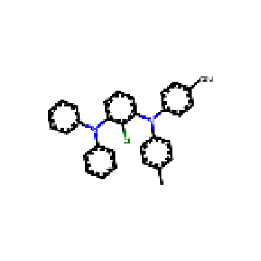 Cc1ccc(N(c2ccc(C(C)(C)C)cc2)c2cccc(N(c3ccccc3)c3ccccc3)c2Cl)cc1